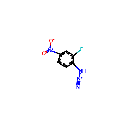 N#[N+]Nc1ccc([N+](=O)[O-])cc1F